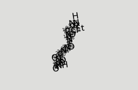 CCc1c[nH]c2ncc(-c3cccc(N4CCN(CCC(=O)N5CCN(c6ccc7c(c6)C(=O)N(C6CCC(=O)NC6=O)C7=O)CC5)CC4=O)c3)c(Cl)c12